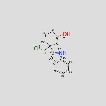 OC1=CC(CCl)(c2cc3ccccc3[nH]2)CCC1